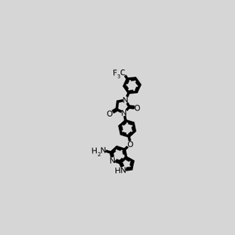 Nc1cc(Oc2ccc(N3C(=O)CN(c4cccc(C(F)(F)F)c4)C3=O)cc2)c2cc[nH]c2n1